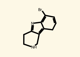 BrC1=C2N=C3CCNCC3=C2CC=C1